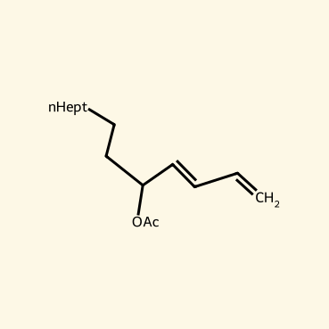 C=CC=CC(CCCCCCCCC)OC(C)=O